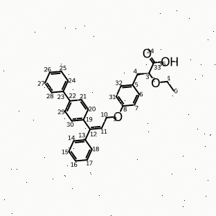 CCO[C@@H](Cc1ccc(OCC=C(c2ccccc2)c2ccc(-c3ccccc3)cc2)cc1)C(=O)O